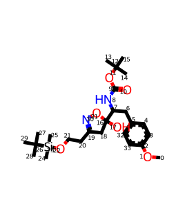 COc1ccc(CC(NC(=O)OC(C)(C)C)C2(O)CC(CCO[Si](C)(C)C(C)(C)C)=NO2)cc1